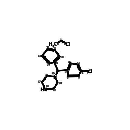 CCCl.Clc1ccc(C(c2ccccc2)N2CCNCC2)cc1